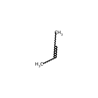 CCCCCCCCCCCCc1ccc2cc3cc4cc5ccc(CCCCCCCCCCCC)cc5cc4cc3cc2c1